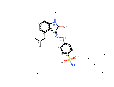 CC(C)Cc1cccc2c1C(=NNc1ccc(S(N)(=O)=O)cc1)C(=O)N2